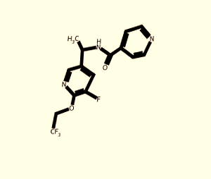 CC(NC(=O)c1ccncc1)c1cnc(OCC(F)(F)F)c(F)c1